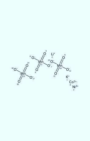 [Co+2].[K+].[Li+].[Ni+2].[O]=[Mn](=[O])([O-])[O-].[O]=[Mn](=[O])([O-])[O-].[O]=[Mn](=[O])([O-])[O-]